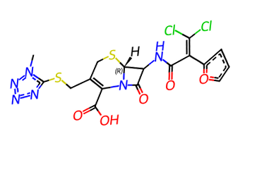 Cn1nnnc1SCC1=C(C(=O)O)N2C(=O)C(NC(=O)C(=C(Cl)Cl)c3ccco3)[C@H]2SC1